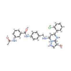 CC(=O)Nc1cccc(C(=O)Nc2ccc(CNc3cc(-c4ccccc4Cl)nc4c(Br)cnn34)cc2)c1